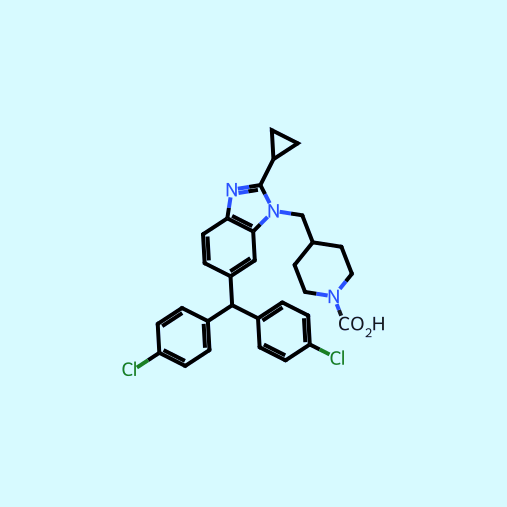 O=C(O)N1CCC(Cn2c(C3CC3)nc3ccc(C(c4ccc(Cl)cc4)c4ccc(Cl)cc4)cc32)CC1